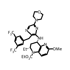 CCOC(=O)N1c2ccc(OC)nc2[C@@H](Nc2nc(N3CCOCC3)cnc2Cc2cc(C(F)(F)F)cc(C(F)(F)F)c2)C[C@H]1CC